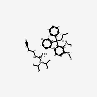 CC(C)N(C(C)C)P(O)SCCC#N.CCCC(c1ccccc1)(c1ccccc1)c1cccc(OC)c1OC